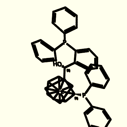 O[C@@H](c1ccccc1P(c1ccccc1)c1ccccc1)[C]12[CH]3[CH]4[CH]5[C@@]1(P(c1ccccc1)c1ccccc1)[Fe]43521678[CH]2[CH]1[CH]6[CH]7[CH]28